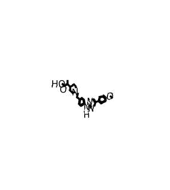 COc1ccc(-c2cnc(Nc3ccc(CCN4CCC(C(C)C(=O)O)CC4)cc3)nc2)cc1